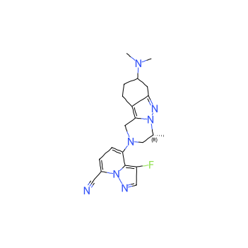 C[C@@H]1CN(c2ccc(C#N)n3ncc(F)c23)Cc2c3c(nn21)CC(N(C)C)CC3